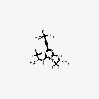 C[C@@H](Nc1nc(C#CC(C)(C)F)nc(N[C@H](C)C(F)(F)F)n1)C(F)(F)F